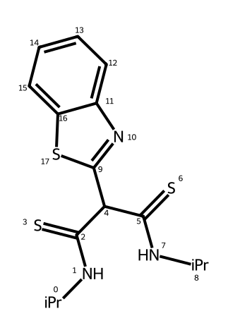 CC(C)NC(=S)C(C(=S)NC(C)C)c1nc2ccccc2s1